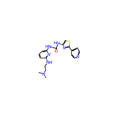 CN(C)CCNc1cccc(NC(=O)Nc2csc(-c3ccncc3)n2)n1